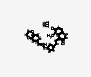 Cl.Cl.Cn1c(=O)ccc2ncc(Cl)c(CCN3CC[C@H](CNCc4cc5c(cn4)OCCO5)C3)c21